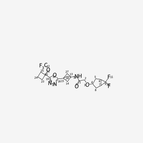 O=C(COC1CC2C(C1)C2(F)F)NC12CC(c3nnc(C4(OC(F)(F)F)CCC4)o3)(C1)C2